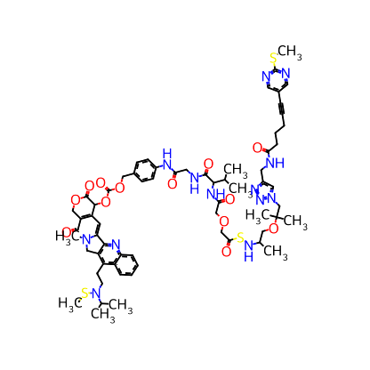 CSc1ncc(C#CCCCC(=O)NCc2cn(CC(C)(C)OCC(C)NSC(=O)COCC(=O)NC(C(=O)NCC(=O)Nc3ccc(COC(=O)OC4C(=O)OCC(C=O)=C4/C=C4/c5nc6ccccc6c(CCN(SC)C(C)C)c5CN4C)cc3)C(C)C)nn2)cn1